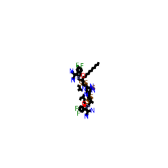 CCCCCCCCCCCc1c(/C=C2\C(=O)c3cc(F)c(F)cc3C2=C(C#N)C#N)sc2c1sc1c3c4nsnc4c4c5sc6c(C)c(/C=C7\C(=O)c8cc(F)c(F)cc8C7=C(C#N)C#N)sc6c5n(CC(CC)CCCC)c4c3n(CC(C)CC)c21